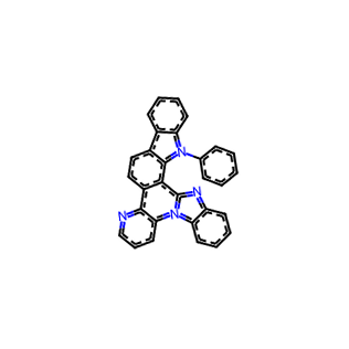 c1ccc(-n2c3ccccc3c3ccc4c5ncccc5n5c6ccccc6nc5c4c32)cc1